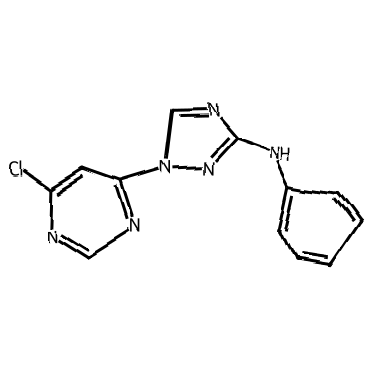 Clc1cc(-n2cnc(Nc3ccccc3)n2)ncn1